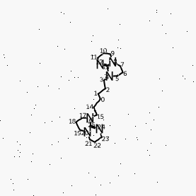 C(CCCN1CCCN2CCCN=C12)CCN1CCCN2CCCN=C12